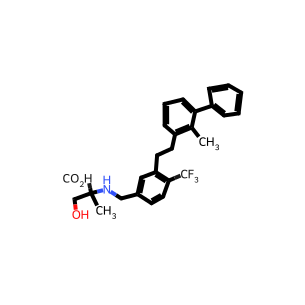 Cc1c(CCc2cc(CNC(C)(CO)C(=O)O)ccc2C(F)(F)F)cccc1-c1ccccc1